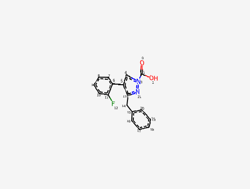 O=C(O)n1cc(-c2ccccc2F)c(Cc2ccccc2)n1